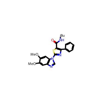 CCC(C)NC(=O)c1sc(-n2cnc3cc(OC)c(OC)cc32)nc1-c1ccccc1